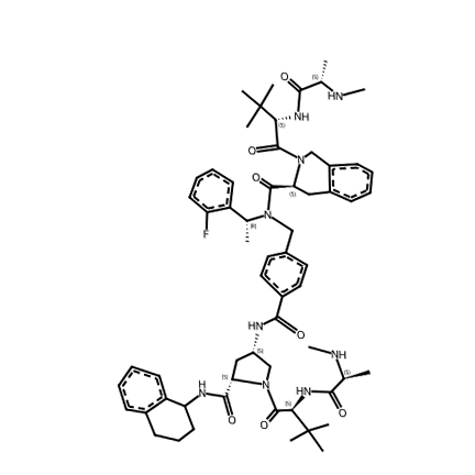 CN[C@@H](C)C(=O)N[C@H](C(=O)N1C[C@@H](NC(=O)c2ccc(CN(C(=O)[C@@H]3Cc4ccccc4CN3C(=O)[C@@H](NC(=O)[C@H](C)NC)C(C)(C)C)[C@H](C)c3ccccc3F)cc2)C[C@H]1C(=O)NC1CCCc2ccccc21)C(C)(C)C